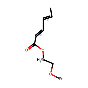 C/C=C/C=C/C(=O)O[SiH2]COCC